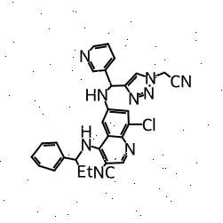 CCC(Nc1c(C#N)cnc2c(Cl)cc(NC(c3cccnc3)c3cn(CC#N)nn3)cc12)c1ccccc1